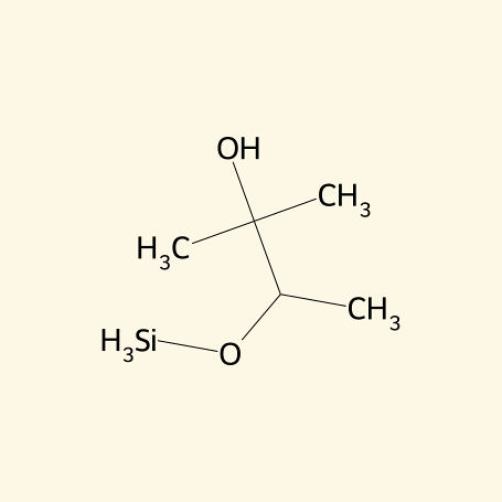 CC(O[SiH3])C(C)(C)O